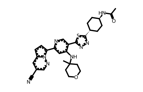 CC(=O)N[C@H]1CC[C@H](c2nnc(-c3cnc(-c4ccc5cc(C#N)cnn45)cc3NC3(C)CCOCC3)s2)CC1